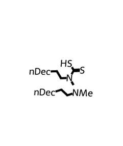 CCCCCCCCCCCCN(C)C(=S)S.CCCCCCCCCCCCNC